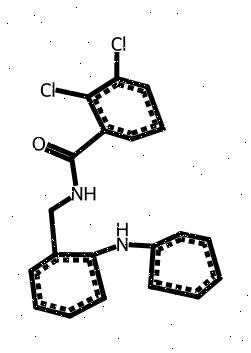 O=C(NCc1ccccc1Nc1ccccc1)c1cccc(Cl)c1Cl